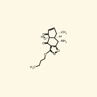 CCCCOc1noc2c1C(=O)[C@@]1(OS)C(=O)C=C[C@H](C)[C@H]1[C@@H]2N